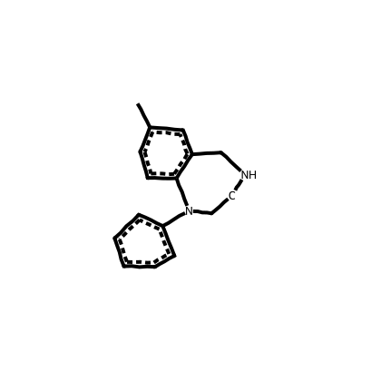 Cc1ccc2c(c1)CNCCN2c1ccccc1